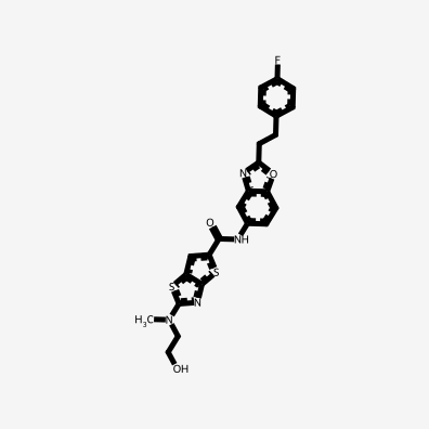 CN(CCO)c1nc2sc(C(=O)Nc3ccc4oc(CCc5ccc(F)cc5)nc4c3)cc2s1